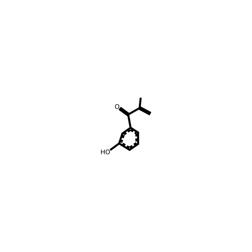 C=C(C)C(=O)c1cccc(O)c1